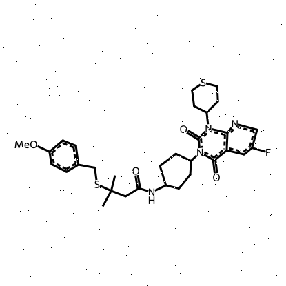 COc1ccc(CSC(C)(C)CC(=O)NC2CCC(n3c(=O)c4cc(F)cnc4n(C4CCSCC4)c3=O)CC2)cc1